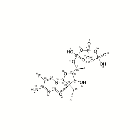 C[C@H](OP(=O)(O)OP(=O)(O)OP(=O)(O)O)[C@H]1O[C@@H](n2cc(F)c(N)nc2=O)[C@@](F)(CF)C1O